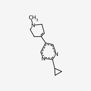 CN1CC=C(c2cnc(C3CC3)nc2)CC1